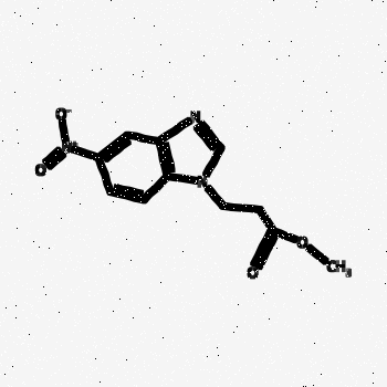 COC(=O)CCn1cnc2cc([N+](=O)[O-])ccc21